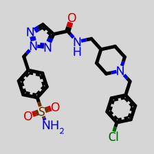 NS(=O)(=O)c1ccc(Cn2ncc(C(=O)NCC3CCN(Cc4ccc(Cl)cc4)CC3)n2)cc1